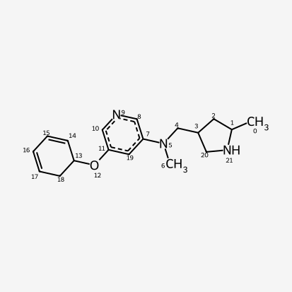 CC1CC(CN(C)c2cncc(OC3C=CC=CC3)c2)CN1